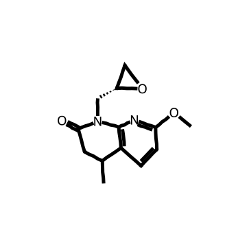 COc1ccc2c(n1)N(C[C@@H]1CO1)C(=O)CC2C